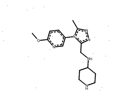 COc1ccc(-n2c(C)nnc2CNC2CCNCC2)cn1